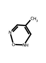 CC1=CNON=C1